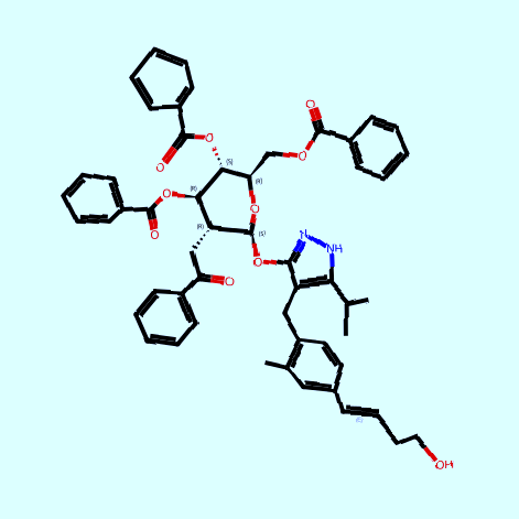 Cc1cc(/C=C/CCO)ccc1Cc1c(O[C@@H]2O[C@H](COC(=O)c3ccccc3)[C@@H](OC(=O)c3ccccc3)[C@H](OC(=O)c3ccccc3)[C@H]2CC(=O)c2ccccc2)n[nH]c1C(C)C